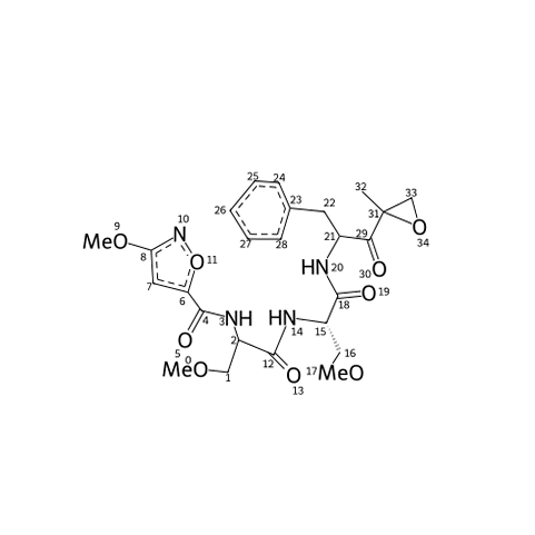 COCC(NC(=O)c1cc(OC)no1)C(=O)N[C@@H](COC)C(=O)NC(Cc1ccccc1)C(=O)C1(C)CO1